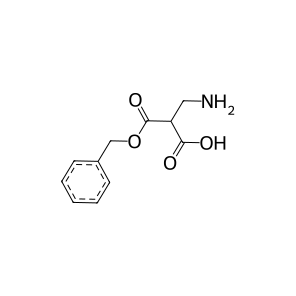 NCC(C(=O)O)C(=O)OCc1ccccc1